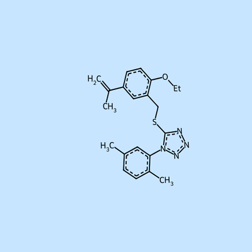 C=C(C)c1ccc(OCC)c(CSc2nnnn2-c2cc(C)ccc2C)c1